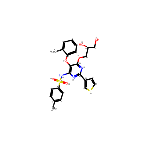 COc1ccccc1Oc1c(NS(=O)(=O)c2ccc(C(C)(C)C)cc2)nc(-c2ccsc2)nc1OC[C@@H](O)CO